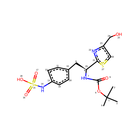 CC(C)(C)OC(=O)N[C@@H](Cc1ccc(NS(=O)(=O)O)cc1)c1nc(CO)cs1